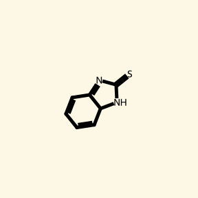 S=C1N=C2C=CC=CC2N1